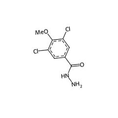 COc1c(Cl)cc(C(=O)NN)cc1Cl